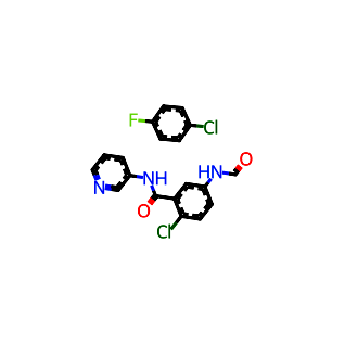 Fc1ccc(Cl)cc1.O=CNc1ccc(Cl)c(C(=O)Nc2cccnc2)c1